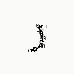 Cn1nncc1C1[C@H]2CN(c3nnc(-c4cnc(NCCc5ccc(Cl)cc5)nc4)o3)C[C@@H]12